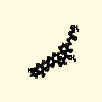 CCOC(=O)CCc1cccc(C(C)c2cnc3n2CCc2ccc(Oc4c(F)cc5[nH]ccc5c4F)cc2-3)c1F